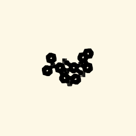 N#Cc1cc(-n2c3ccc(N(c4ccccc4)c4ccccc4)cc3c3ccc4oc5ccccc5c4c32)c(C#N)cc1-n1c2ccccc2c2c3ccccc3ccc21